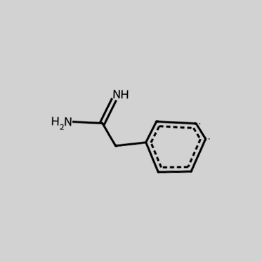 N=C(N)Cc1c[c][c]cc1